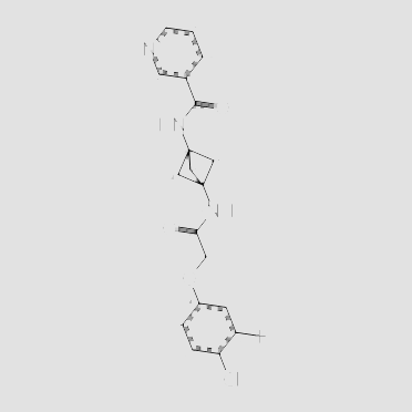 O=C(COc1ccc(Cl)c(F)c1)NC12CC(NC(=O)c3cccnc3)(C1)C2